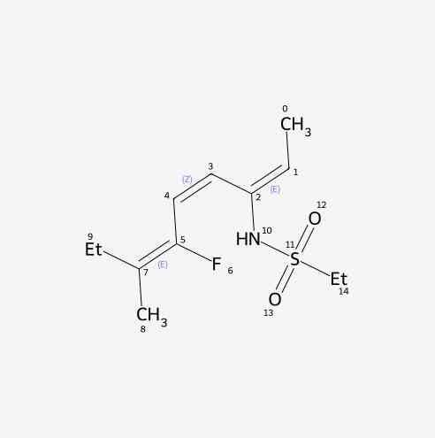 C\C=C(/C=C\C(F)=C(\C)CC)NS(=O)(=O)CC